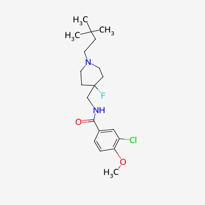 COc1ccc(C(=O)NCC2(F)CCN(CCC(C)(C)C)CC2)cc1Cl